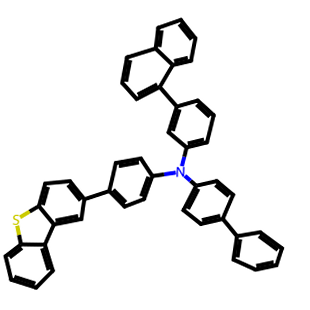 c1ccc(-c2ccc(N(c3ccc(-c4ccc5sc6ccccc6c5c4)cc3)c3cccc(-c4cccc5ccccc45)c3)cc2)cc1